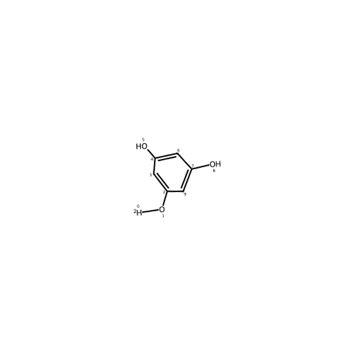 [2H]Oc1cc(O)cc(O)c1